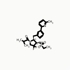 CCS(=O)(=O)N[C@@H]1[C@H](Cc2cccc(-c3cccc(C)n3)c2)N(C(=O)C(C)C)CC1(F)F